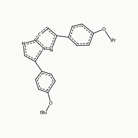 CC(C)Oc1ccc(-c2ccc3ncc(-c4ccc(OC(C)(C)C)cc4)n3n2)cc1